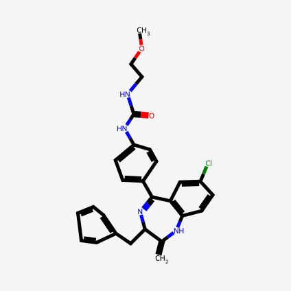 C=C1Nc2ccc(Cl)cc2C(c2ccc(NC(=O)NCCOC)cc2)=NC1Cc1ccccc1